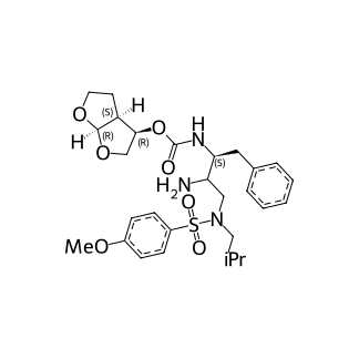 COc1ccc(S(=O)(=O)N(CC(C)C)CC(N)[C@H](Cc2ccccc2)NC(=O)O[C@H]2CO[C@H]3OCC[C@H]32)cc1